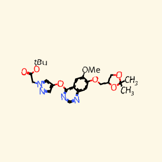 COc1cc2c(Oc3cnn(CC(=O)OC(C)(C)C)c3)ncnc2cc1OCC1COC(C)(C)O1